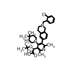 Cc1nc(C)c([C@H](OC(C)(C)C)C(=O)O)c(N2CCC(C)(C)CC2)c1-c1ccc2c(c1)CCN(Cc1ccccc1Cl)C2